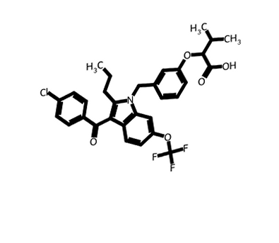 CCCc1c(C(=O)c2ccc(Cl)cc2)c2ccc(OC(F)(F)F)cc2n1Cc1cccc(OC(C(=O)O)C(C)C)c1